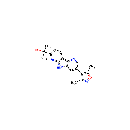 Cc1noc(C)c1-c1cnc2c(c1)[nH]c1nc(C(C)(C)O)ccc12